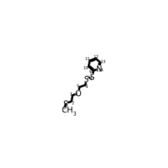 CSCCOCCSSc1ccccn1